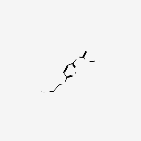 COCCOc1ccc(NC(=O)OC(C)(C)C)nn1